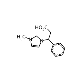 CN1C=CN(C(CC(=O)O)c2ccccc2)C1